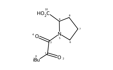 CCC(C)C(=O)C(=O)N1CCCC1C(=O)O